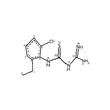 CCc1cccc(Cl)c1NC(=S)NC(=N)N